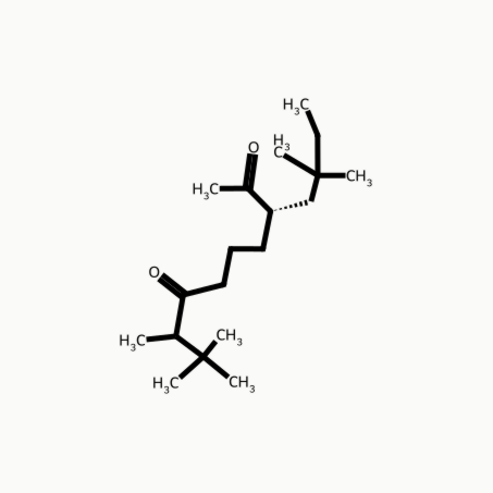 CCC(C)(C)C[C@H](CCCC(=O)C(C)C(C)(C)C)C(C)=O